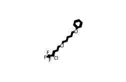 FC(F)(F)C(Cl)=CCCOCCCCCOc1ccccc1